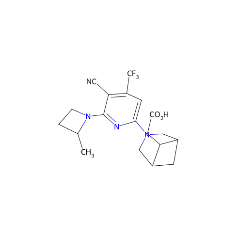 CC1CCN1c1nc(N2CC3CC(C2)C3CC(=O)O)cc(C(F)(F)F)c1C#N